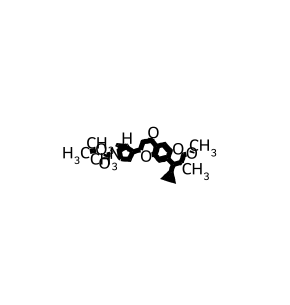 COC(=O)C(C)C(c1ccc2c(c1)OC(C1CC3C[C@@H]1CN3C(=O)OC(C)(C)C)CC2=O)C1CC1